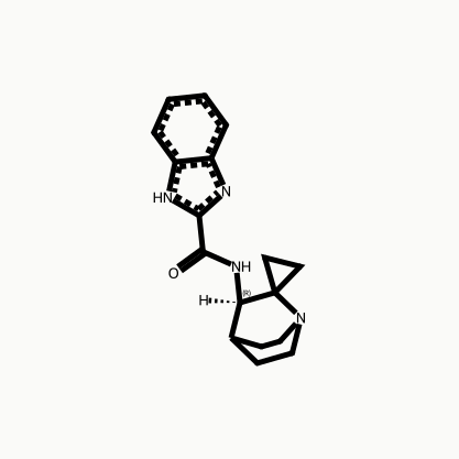 O=C(N[C@@H]1C2CCN(CC2)C12CC2)c1nc2ccccc2[nH]1